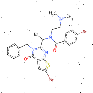 CCC(c1nc2sc(Br)cc2c(=O)n1Cc1ccccc1)N(CCN(C)C)C(=O)c1ccc(Br)cc1